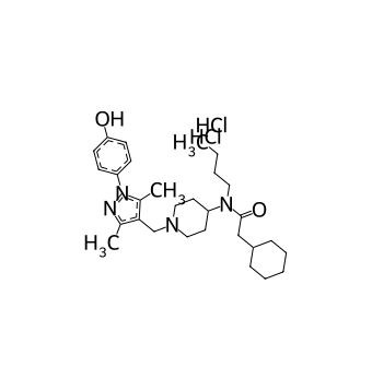 CCCCN(C(=O)CC1CCCCC1)C1CCN(Cc2c(C)nn(-c3ccc(O)cc3)c2C)CC1.Cl.Cl